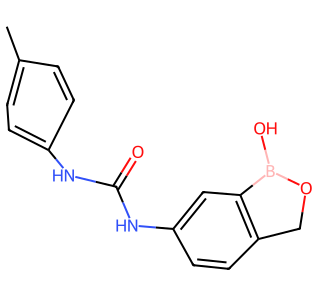 Cc1ccc(NC(=O)Nc2ccc3c(c2)B(O)OC3)cc1